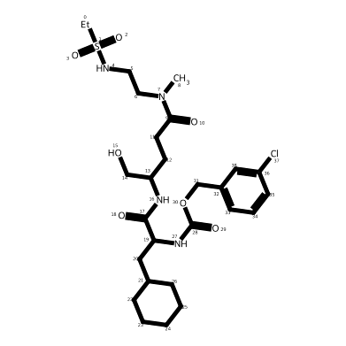 CCS(=O)(=O)NCCN(C)C(=O)CCC(CO)NC(=O)C(CC1CCCCC1)NC(=O)OCc1cccc(Cl)c1